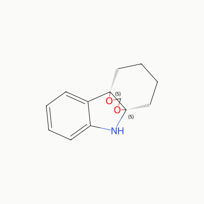 c1ccc2c(c1)N[C@]13CCCC[C@]21OCO3